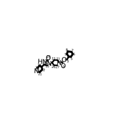 O=C(OCc1ccccc1)N1CCC(N2CC(c3ccncc3)NC2=O)CC1